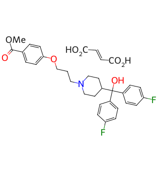 COC(=O)c1ccc(OCCCN2CCC(C(O)(c3ccc(F)cc3)c3ccc(F)cc3)CC2)cc1.O=C(O)C=CC(=O)O